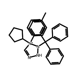 Cc1ccc([N+]2(C3CCCC3)C=NNN2C(c2ccccc2)(c2ccccc2)c2ccccc2)cc1